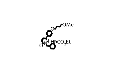 CCOC(=O)Nc1cccc(Cn2nc(-c3ccc(OCCCCOC)cc3)ccc2=O)c1